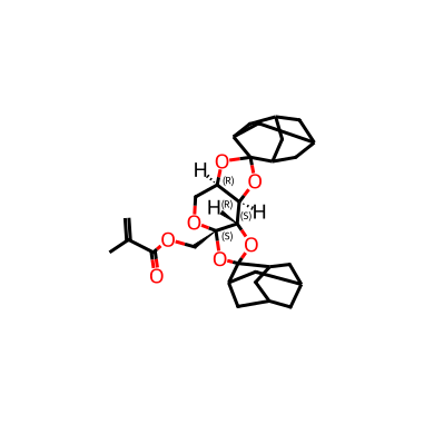 C=C(C)C(=O)OC[C@@]12OC[C@H]3OC4(O[C@H]3[C@@H]1OC1(O2)C2CC3CC(C2)CC1C3)C1CC2CC(C1)CC4C2